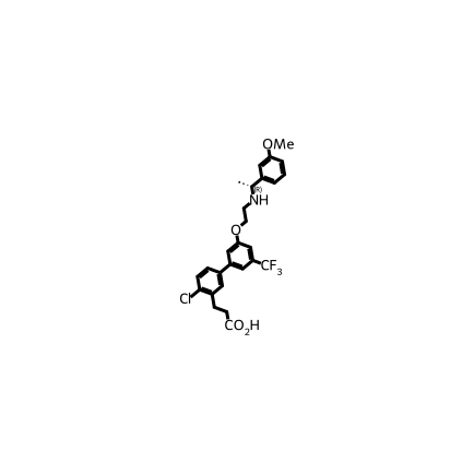 COc1cccc([C@@H](C)NCCOc2cc(-c3ccc(Cl)c(CCC(=O)O)c3)cc(C(F)(F)F)c2)c1